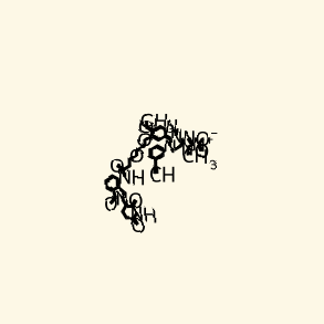 C#Cc1cccc(N(Cc2cnc([N+](=O)[O-])n2C)c2ncnc3cc(OC)c(OCCOCCC(=O)Nc4cccc5c4CN(C4CCC(=O)NC4=O)C5=O)cc23)c1